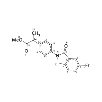 CCc1ccc2c(c1)C(=O)N(c1ccc(C(C)C(=O)OC)cc1)C2